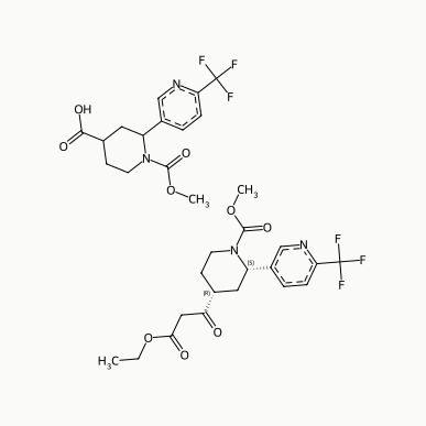 CCOC(=O)CC(=O)[C@@H]1CCN(C(=O)OC)[C@H](c2ccc(C(F)(F)F)nc2)C1.COC(=O)N1CCC(C(=O)O)CC1c1ccc(C(F)(F)F)nc1